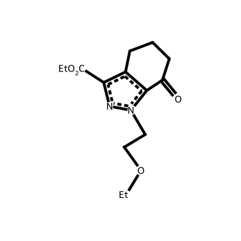 CCOCCn1nc(C(=O)OCC)c2c1C(=O)CCC2